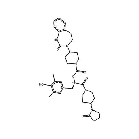 Cc1cc(C[C@@H](OC(=O)N2CCC(N3CCc4ccccc4NC3=O)CC2)C(=O)N2CCC(N3CCCC3=O)CC2)cc(C)c1O